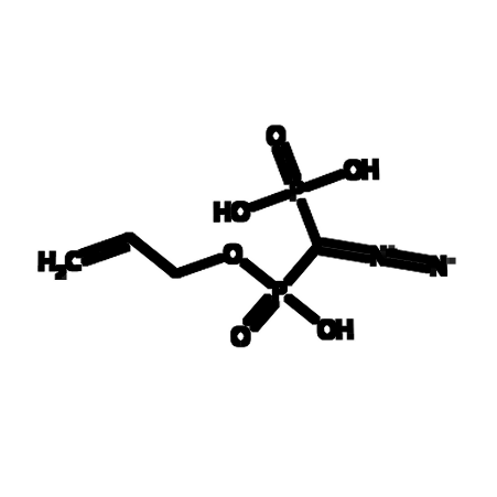 C=CCOP(=O)(O)C(=[N+]=[N-])P(=O)(O)O